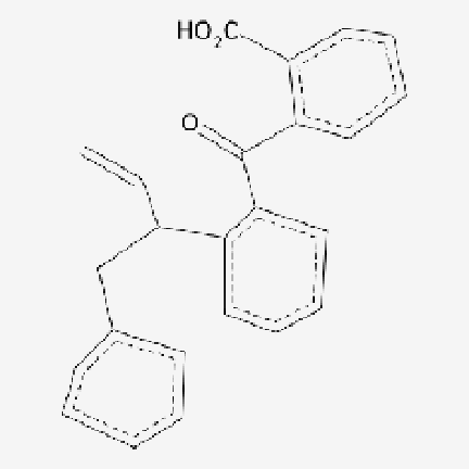 C=CC(Cc1ccccc1)c1ccccc1C(=O)c1ccccc1C(=O)O